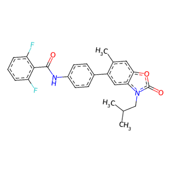 Cc1cc2oc(=O)n(CC(C)C)c2cc1-c1ccc(NC(=O)c2c(F)cccc2F)cc1